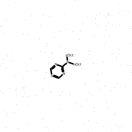 CCCCCCCCN(CCCCCCCC)c1ncncn1